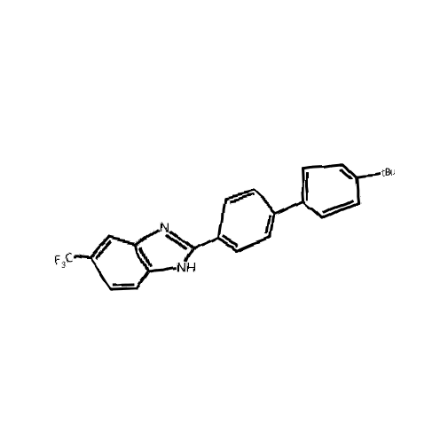 CC(C)(C)c1ccc(-c2ccc(-c3nc4cc(C(F)(F)F)ccc4[nH]3)cc2)cc1